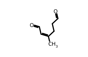 CC(=CC=O)CCC=O